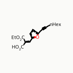 CCCCCCC#Cc1ccc(/C=C(/C(=O)O)C(=O)OCC)o1